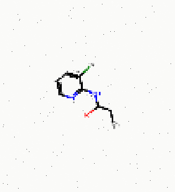 CCC(O)Nc1ncccc1F